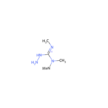 C/N=C(\NN)N(C)NC